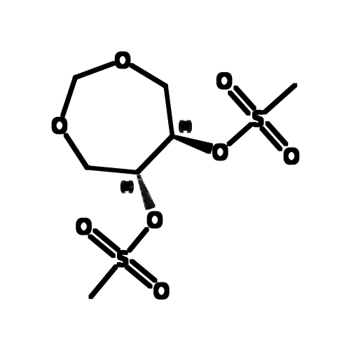 CS(=O)(=O)O[C@@H]1COCOC[C@H]1OS(C)(=O)=O